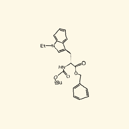 CCn1cc(C[C@@H](NC(=O)OC(C)(C)C)C(=O)OCc2ccccc2)c2ccccc21